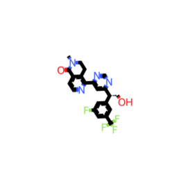 CN1CCc2c(ccnc2-c2cc([C@H](CO)c3cc(F)cc(C(F)(F)F)c3)ncn2)C1=O